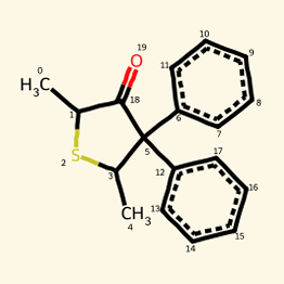 CC1SC(C)C(c2ccccc2)(c2ccccc2)C1=O